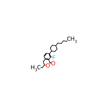 CCCCCC1CCC(c2ccc3c(c2F)C(=O)OC(CC)C3)CC1